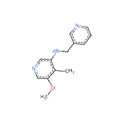 COc1cncc(NCc2cccnc2)c1C